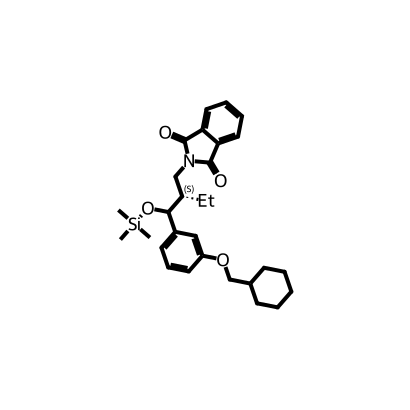 CC[C@@H](CN1C(=O)c2ccccc2C1=O)C(O[Si](C)(C)C)c1cccc(OCC2CCCCC2)c1